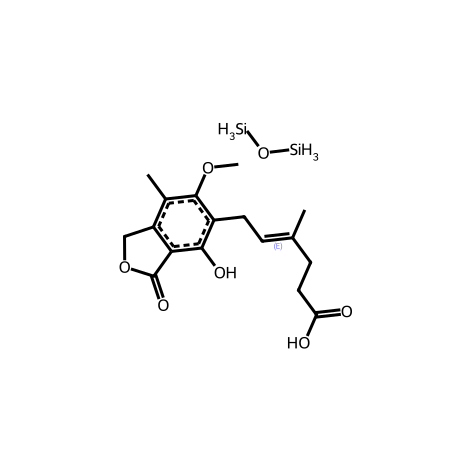 COc1c(C)c2c(c(O)c1C/C=C(\C)CCC(=O)O)C(=O)OC2.[SiH3]O[SiH3]